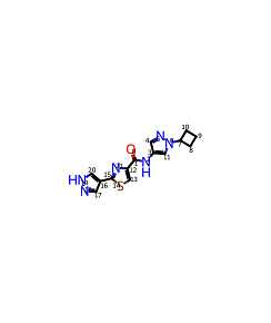 O=C(Nc1cnn(C2CCC2)c1)c1csc(-c2cn[nH]c2)n1